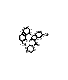 Cc1ccc(F)cc1Oc1c(C(=O)N2CCNCC2)c2cc(O)cnc2n1-c1ccccc1